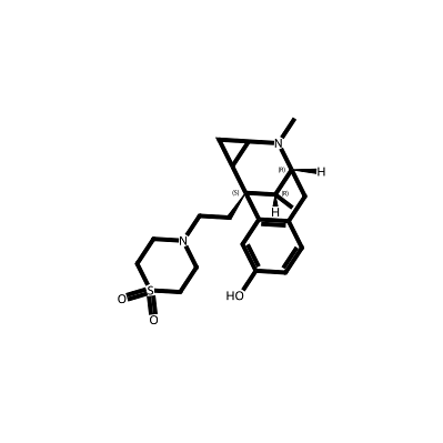 C[C@H]1[C@H]2Cc3ccc(O)cc3[C@]1(CCN1CCS(=O)(=O)CC1)C1CC1N2C